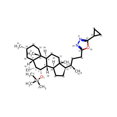 CC[C@H]1[C@@H](O[Si](C)(C)C)[C@@H]2[C@H](CC[C@]3(C)[C@@H]([C@H](C)CCc4nnc(C5CC5)o4)CC[C@@H]23)[C@@]2(C)CC[C@@H](C)C[C@@H]12